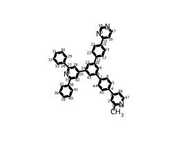 Cc1cc(-c2ccc(-c3cc(-c4ccc(-c5ccncn5)cc4)cc(-c4cc(-c5ccccc5)nc(-c5ccccc5)c4)c3)cc2)ccn1